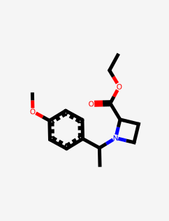 CCOC(=O)C1CCN1C(C)c1ccc(OC)cc1